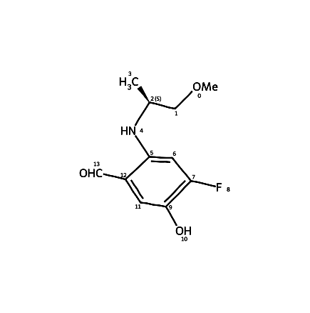 COC[C@H](C)Nc1cc(F)c(O)cc1C=O